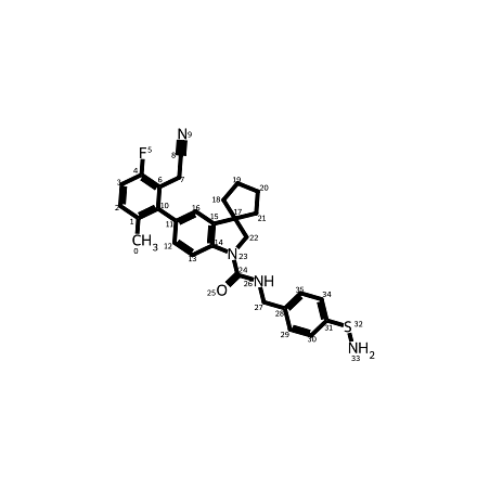 Cc1ccc(F)c(CC#N)c1-c1ccc2c(c1)C1(CCCC1)CN2C(=O)NCc1ccc(SN)cc1